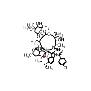 CC[C@H]1OC(=O)[C@H](C)[C@@H](O[C@H]2C[C@@](C)(OC)[C@@H](O)[C@H](C)O2)[C@H](C)[C@@H](O[C@@H]2O[C@H](C)CC(N(C)C)[C@H]2OC(=O)Cc2c(C)n(C(=O)c3ccc(Cl)cc3)c3ccc(OC)cc23)[C@](C)(O)C[C@@H](C)CN(C)[C@H](C)[C@@H](O)[C@]1(C)O